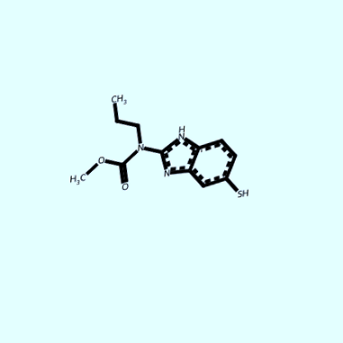 CCCN(C(=O)OC)c1nc2cc(S)ccc2[nH]1